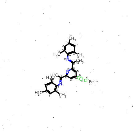 CC(=Nc1c(C)cc(C)cc1C)c1cccc(C(C)=Nc2c(C)cc(C)cc2C)n1.[Cl-].[Cl-].[Cl-].[Fe+3]